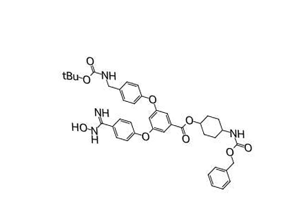 CC(C)(C)OC(=O)NCc1ccc(Oc2cc(Oc3ccc(C(=N)NO)cc3)cc(C(=O)OC3CCC(NC(=O)OCc4ccccc4)CC3)c2)cc1